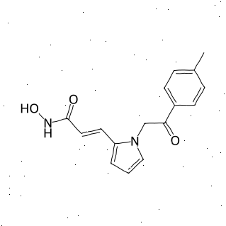 Cc1ccc(C(=O)Cn2cccc2C=CC(=O)NO)cc1